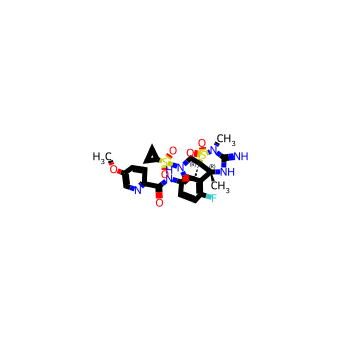 COc1ccc(C(=O)Nc2ccc(F)c([C@@]3(C)NC(=N)N(C)S(=O)(=O)[C@@]34CCN(S(=O)(=O)C3CC3)C4)c2)nc1